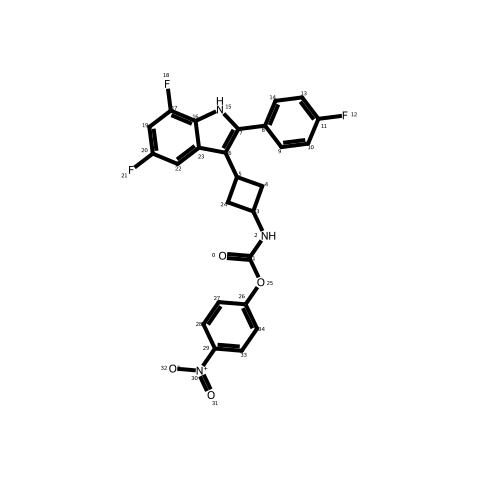 O=C(NC1CC(c2c(-c3ccc(F)cc3)[nH]c3c(F)cc(F)cc23)C1)Oc1ccc([N+](=O)[O-])cc1